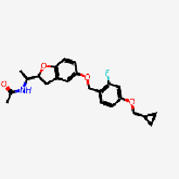 CC(=O)NC(C)C1Cc2cc(OCc3ccc(OCC4CC4)cc3F)ccc2O1